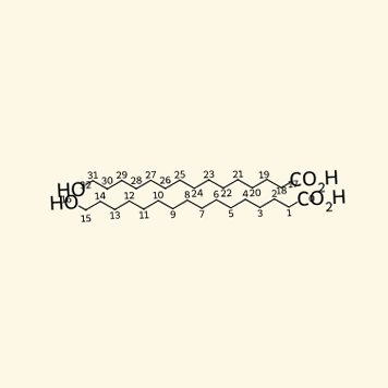 O=C(O)CCCCCCCCCCCCCCCO.O=C(O)CCCCCCCCCCCCCCO